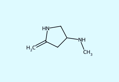 C=C1CC(NC)CN1